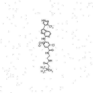 C[N+](C)(C)CC(=O)NCCNC(=O)c1ccc(Nc2nccn3c(-c4c[nH]nc4C(F)(F)F)cnc23)cc1Cl.O=C[O-]